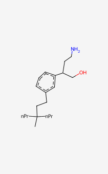 CCCC(C)(CCC)CCc1cccc(C(CO)CCN)c1